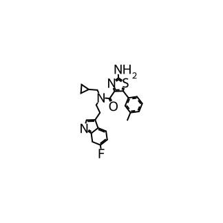 Cc1cccc(-c2sc(N)nc2C(=O)N(CCC2=CN=C3CC(F)=CC=C23)CC2CC2)c1